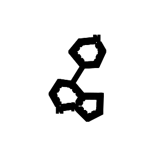 c1cc2c(-c3ccncc3)ccnn2c1